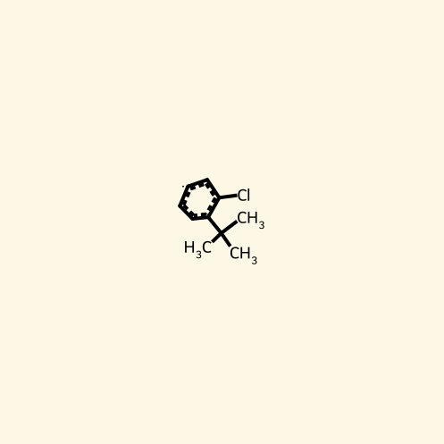 CC(C)(C)c1cc[c]cc1Cl